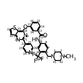 CN1CCN(Cc2ccc(NC(=O)c3cccc(Oc4nc(-c5ccncc5)nc5ccsc45)c3)cc2C(F)(F)F)CC1